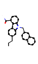 CCCc1c[c]c2c3c(C(N)=O)cccc3n(Cc3ccc4ccccc4c3)c2c1